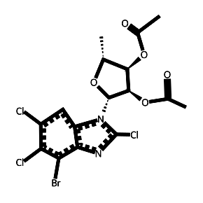 CC(=O)O[C@@H]1[C@H](OC(C)=O)[C@@H](C)O[C@H]1n1c(Cl)nc2c(Br)c(Cl)c(Cl)cc21